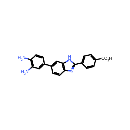 Nc1ccc(-c2ccc3nc(-c4ccc(C(=O)O)cc4)[nH]c3c2)cc1N